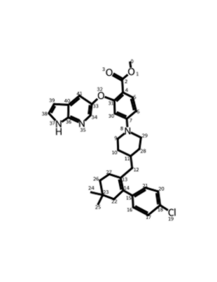 COC(=O)c1ccc(N2CCC(CC3=C(c4ccc(Cl)cc4)CC(C)(C)CC3)CC2)cc1Oc1cnc2[nH]ccc2c1